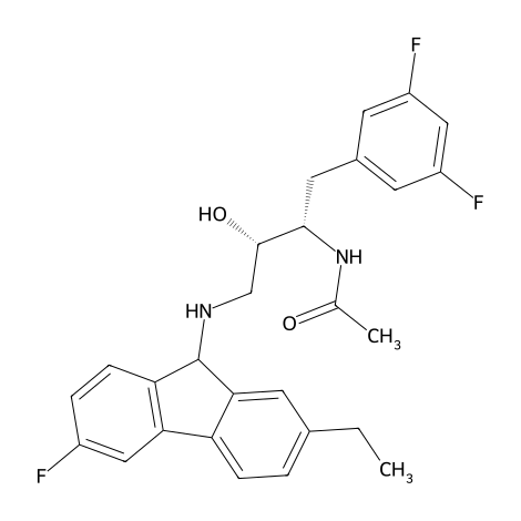 CCc1ccc2c(c1)C(NC[C@H](O)[C@H](Cc1cc(F)cc(F)c1)NC(C)=O)c1ccc(F)cc1-2